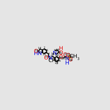 CN(C(=O)Cc1ccc2c(c1)NC(=O)C2)[C@H](CN1CC[C@H](O)C1)c1cccc(OCC(=O)NS(C)(=O)=O)c1